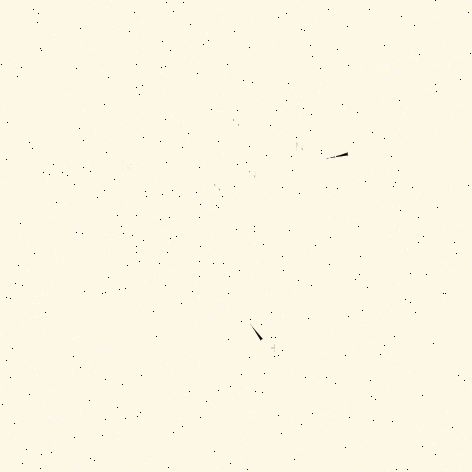 C[C@H](Nc1ncc2c(Br)cc([C@H]3CC[C@H](O)CC3)n2n1)c1ccccc1